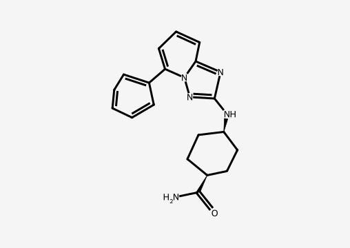 NC(=O)[C@H]1CC[C@@H](Nc2nc3cccc(-c4ccccc4)n3n2)CC1